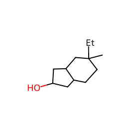 CCC1(C)CCC2CC(O)CC2C1